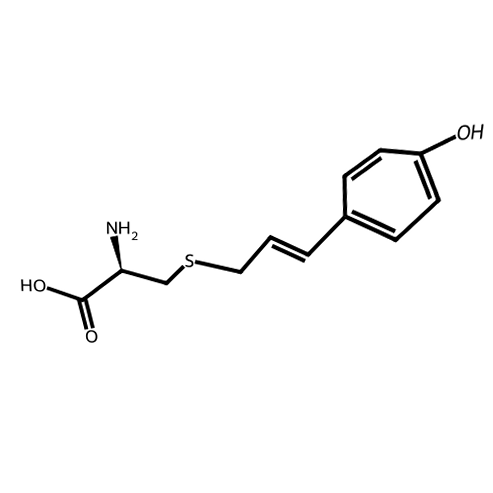 N[C@@H](CSC/C=C/c1ccc(O)cc1)C(=O)O